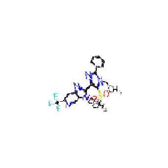 CCn1c(-c2ccccc2)nc(-c2nc3cc(C(F)(F)F)ncc3n2C)c1S(=O)(=O)CC